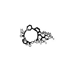 C=C/C(=C(\N=C/C)[C@H](C)OC)c1c2c3cc(ccc3n1CC)C1CCCN(C1)C[C@H](N)C(=O)N1CCC[C@H](N1)C(=O)OCC(C)(C)C2